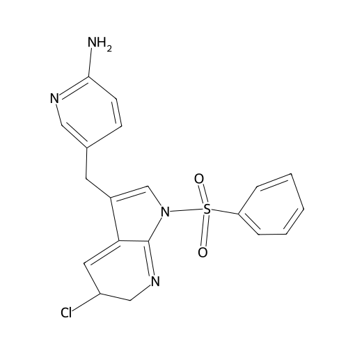 Nc1ccc(Cc2cn(S(=O)(=O)c3ccccc3)c3c2=CC(Cl)CN=3)cn1